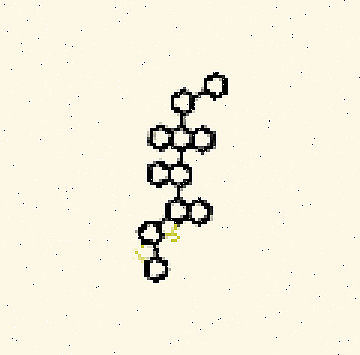 c1ccc(-c2cccc(-c3c4ccccc4c(-c4ccc(-c5cc6c7ccc8sc9ccccc9c8c7sc6c6ccccc56)c5ccccc45)c4ccccc34)c2)cc1